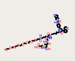 COCCOCCOCCOCCOCCOCCOCCOCCC(=O)NCCCC[C@H](NC(=O)CNC(=O)C(CSC[C@H](N)C(=O)O)CC(=O)O)C(=O)NCCCCCCN1N=C(c2ccc(NC(=O)N3Cc4ccncc4C3)cc2)CC(c2cccc3ncccc23)C1=O